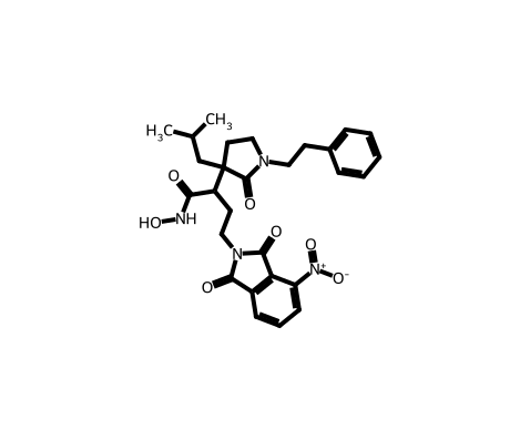 CC(C)CC1(C(CCN2C(=O)c3cccc([N+](=O)[O-])c3C2=O)C(=O)NO)CCN(CCc2ccccc2)C1=O